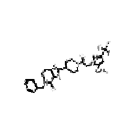 Cc1cc(C(F)(F)F)nn1CC(=O)N1CCC(c2nc3c(s2)CCN(Cc2ccccc2)C3=O)CC1